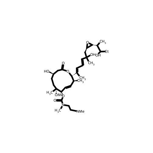 CCC(O)C(C)[C@H]1O[C@@H]1CC(C)(O)/C=C/C=C(\C)[C@H]1OC(=O)C[C@H](O)CC[C@@](C)(OC)[C@@H](OC(=O)N(C)CCNC)/C=C/[C@@H]1C